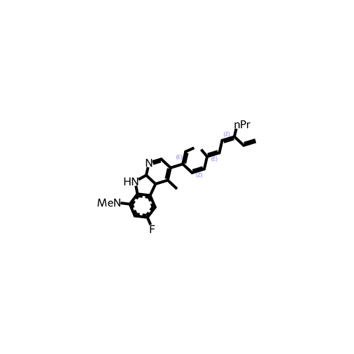 C=C\C(=C/C=C(C)/C=C\C(=C/C)C1=C(C)C2c3cc(F)cc(NC)c3NC2N=C1)CCC